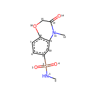 CNS(=O)(=O)c1ccc2c(c1)N(C)C(=O)CO2